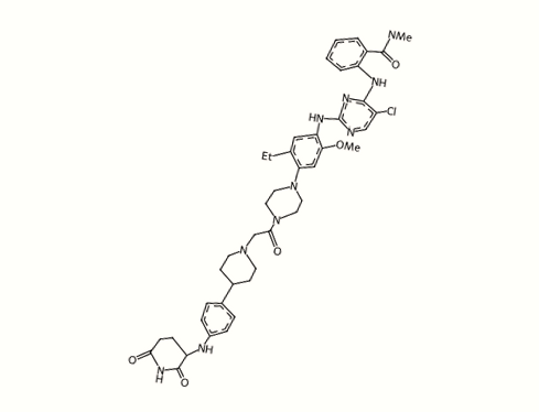 CCc1cc(Nc2ncc(Cl)c(Nc3ccccc3C(=O)NC)n2)c(OC)cc1N1CCN(C(=O)CN2CCC(c3ccc(NC4CCC(=O)NC4=O)cc3)CC2)CC1